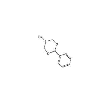 CCC(C)C1COC(c2ccccc2)OC1